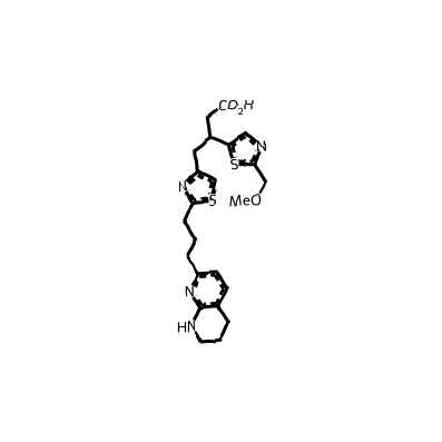 COCc1ncc(C(CC(=O)O)Cc2csc(CCCc3ccc4c(n3)NCCC4)n2)s1